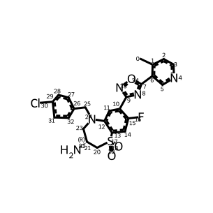 Cc1ccncc1-c1nc(-c2cc3c(cc2F)S(=O)(=O)C[C@H](N)CN3Cc2ccc(Cl)cc2)no1